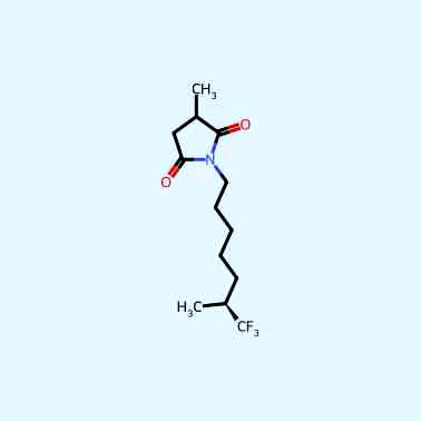 CC1CC(=O)N(CCCCC[C@H](C)C(F)(F)F)C1=O